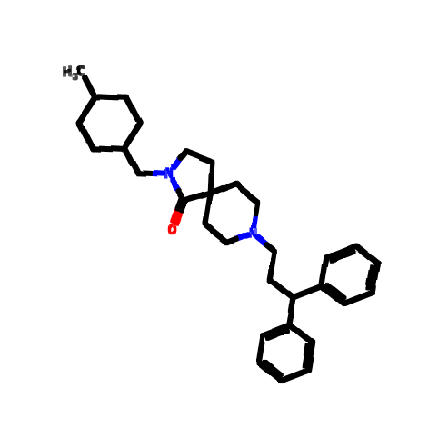 CC1CCC(CN2CCC3(CCN(CCC(c4ccccc4)c4ccccc4)CC3)C2=O)CC1